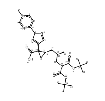 Cc1ccc(C2N=CC([C@@]3(C(=O)O)C[C@@H]3C[C@@H](C)CN(C(=O)OC(C)(C)C)C(=O)OC(C)(C)C)=N2)nc1